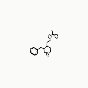 CC(=O)OCCC1CCN(C)CC1Cc1ccccc1